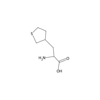 NC(CC1CCSC1)C(=O)O